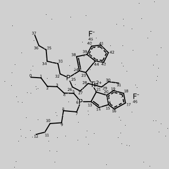 CCCCCCP(CCCCCC)C1=Cc2ccccc2[CH]1[Ti+2][CH]1C(P(CCCCCC)CCCCCC)=Cc2ccccc21.[F-].[F-]